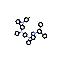 Cc1ccc(-n2c3ccccc3c3cc(N(c4ccccc4)c4ccc(-n5c6ccccc6c6ccc7c(ccn7-c7cc(-c8ccccc8)cc(-c8ccccc8)c7)c65)cc4)ccc32)cc1